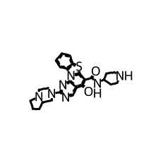 O=C(NC1CCNCC1)c1c(=O)c2cnc(N3CCN4CCCC4C3)nc2n2c1sc1ccccc12